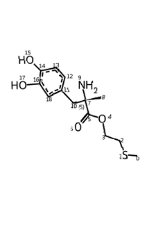 CSCCOC(=O)[C@@](C)(N)Cc1ccc(O)c(O)c1